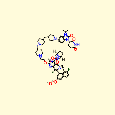 C#Cc1c(F)ccc2cc(OCOC)cc(-c3ncc4c(N5C[C@H]6CC[C@@H](C5)N6C(=O)OC(C)(C)C)nc(OCCN5CCC(CN6CCC(CC7CCN(c8ccc9c(c8)n(C(C)C)c(=O)n9C8CCC(=O)NC8=O)CC7)CC6)CC5)nc4c3F)c12